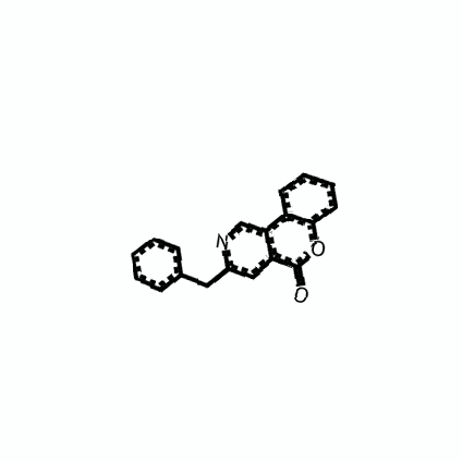 O=c1oc2ccccc2c2cnc(Cc3ccccc3)cc12